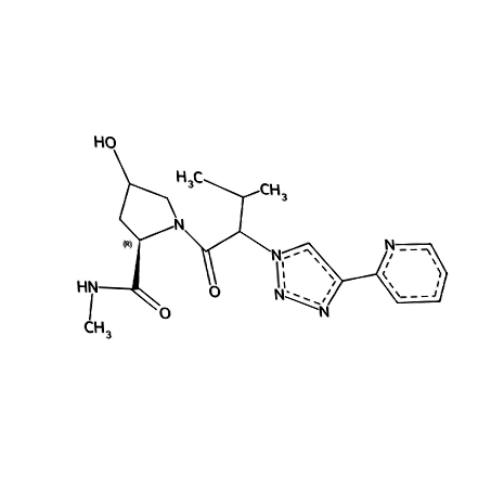 CNC(=O)[C@H]1CC(O)CN1C(=O)C(C(C)C)n1cc(-c2ccccn2)nn1